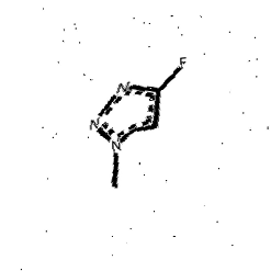 Cn1cc(F)nn1